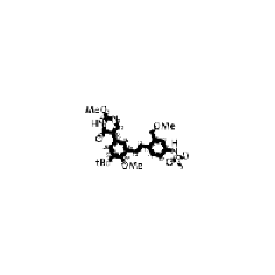 COCc1cc(NS(C)(=O)=O)ccc1/C=C/c1cc(-c2cnc(OC)[nH]c2=O)cc(C(C)(C)C)c1OC